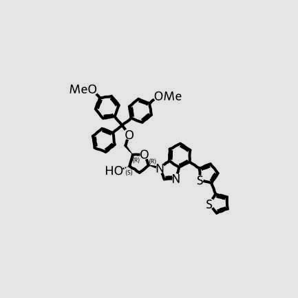 COc1ccc(C(OC[C@H]2O[C@@H](n3cnc4c(-c5ccc(-c6cccs6)s5)cccc43)C[C@@H]2O)(c2ccccc2)c2ccc(OC)cc2)cc1